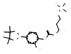 COc1cc(B2OC(C)(C)C(C)(C)O2)ccc1NC(=O)O[C@@H](C)CCO[Si](C)(C)C(C)(C)C